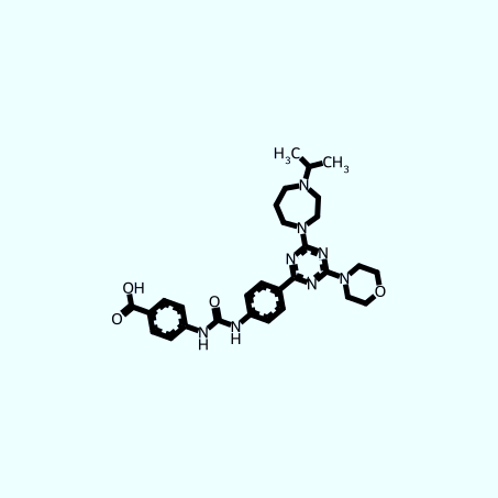 CC(C)N1CCCN(c2nc(-c3ccc(NC(=O)Nc4ccc(C(=O)O)cc4)cc3)nc(N3CCOCC3)n2)CC1